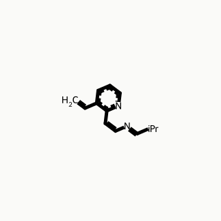 C=Cc1cccnc1/C=C\N=C\C(C)C